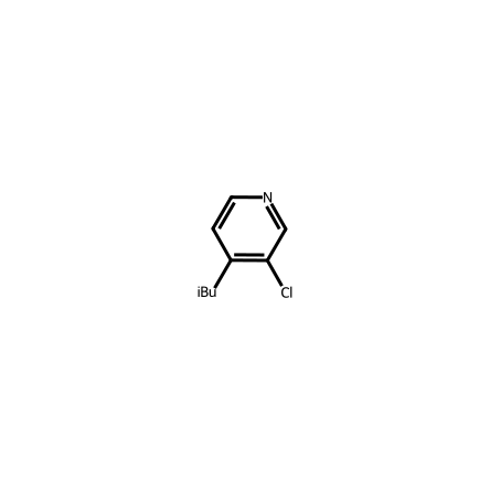 CCC(C)c1ccncc1Cl